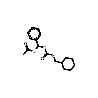 CC(=O)OC(OC(=O)NCC1CCCCC1)c1ccccc1